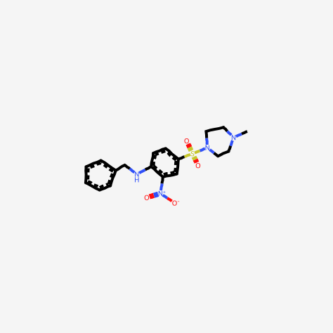 CN1CCN(S(=O)(=O)c2ccc(NCc3ccccc3)c([N+](=O)[O-])c2)CC1